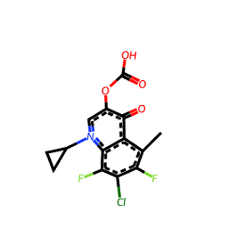 Cc1c(F)c(Cl)c(F)c2c1c(=O)c(OC(=O)O)cn2C1CC1